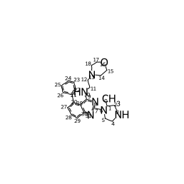 CC1CNCCN1c1nc(NCCN2CCOCC2)c2c(-c3ccccc3)cccc2n1